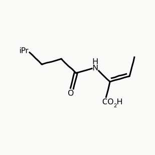 C/C=C(\NC(=O)CCC(C)C)C(=O)O